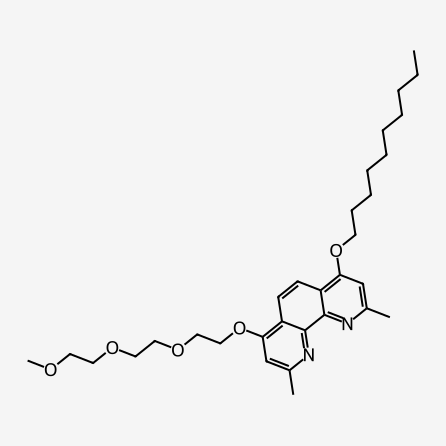 CCCCCCCCCCOc1cc(C)nc2c1ccc1c(OCCOCCOCCOC)cc(C)nc12